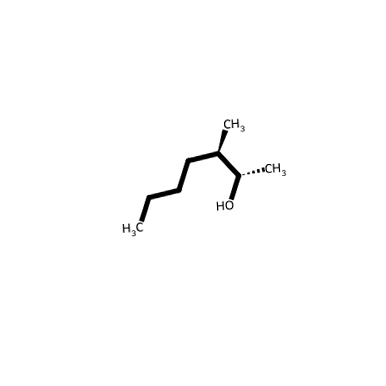 CCCC[C@@H](C)[C@H](C)O